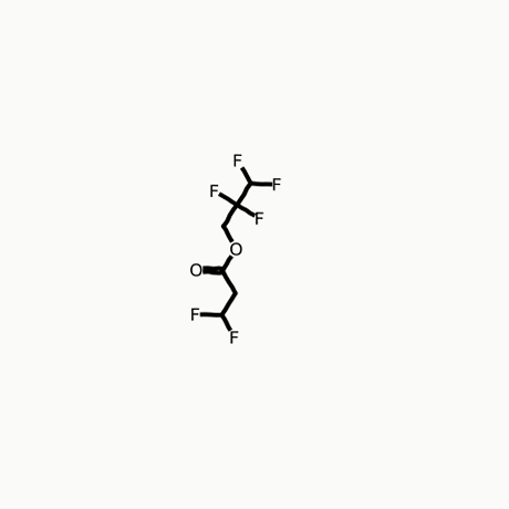 O=C(CC(F)F)OCC(F)(F)C(F)F